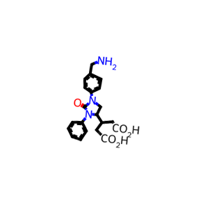 NCc1ccc(N2CC(C(CC(=O)O)CC(=O)O)N(c3ccccc3)C2=O)cc1